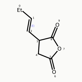 CC/C=C/C1CC(=O)OC1=O